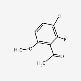 COc1ccc(Cl)c(F)c1C(C)=O